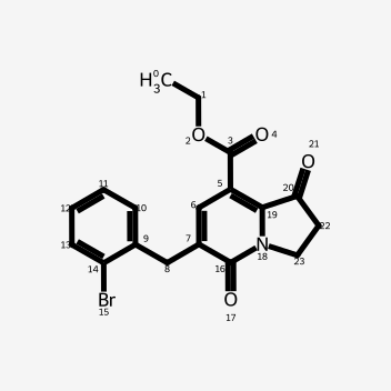 CCOC(=O)c1cc(Cc2ccccc2Br)c(=O)n2c1C(=O)CC2